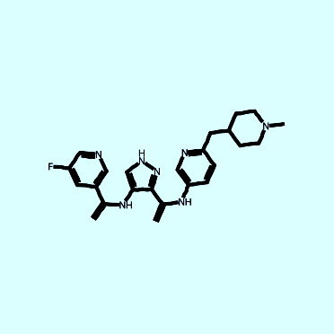 C=C(Nc1c[nH]nc1C(=C)Nc1ccc(CC2CCN(C)CC2)nc1)c1cncc(F)c1